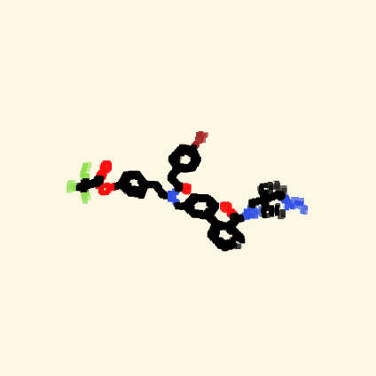 CC(C)(CN)CNC(=O)c1ccccc1-c1cccc(CN(CCc2ccc(OC(=O)C(F)(F)F)cc2)C(=O)Cc2ccc(Br)cc2)c1